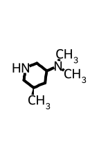 C[C@H]1CNCC(N(C)C)C1